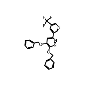 FC(F)(F)c1cncc(-c2cc(OCc3ccccc3)c(OCc3ccccc3)nn2)c1